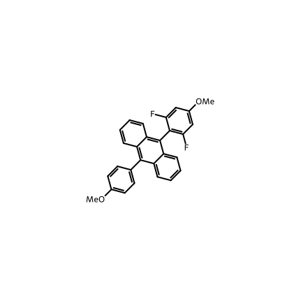 COc1ccc(-c2c3ccccc3c(-c3c(F)cc(OC)cc3F)c3ccccc23)cc1